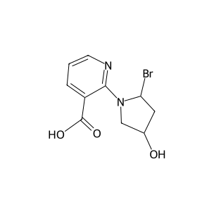 O=C(O)c1cccnc1N1CC(O)CC1Br